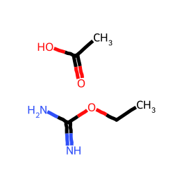 CC(=O)O.CCOC(=N)N